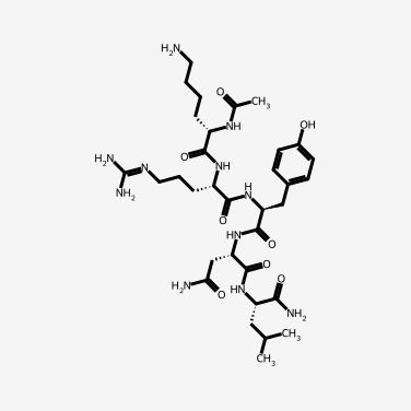 CC(=O)N[C@@H](CCCCN)C(=O)N[C@@H](CCCN=C(N)N)C(=O)N[C@@H](Cc1ccc(O)cc1)C(=O)N[C@@H](CC(N)=O)C(=O)N[C@@H](CC(C)C)C(N)=O